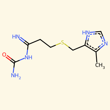 Cc1nc[nH]c1CSCCC(=N)NC(N)=O